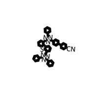 N#Cc1ccc(-c2ccc(-c3nc(-c4ccccc4)nc(-c4cccc5sc6c(-c7nc(-c8ccccc8)nc(-c8ccccc8)n7)cccc6c45)n3)cc2)cc1